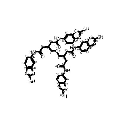 O=C(CC(COCC(CC(=O)Nc1ccc2nc(S)oc2c1)CC(=O)Nc1ccc2nc(S)oc2c1)CC(=O)Nc1ccc2nc(S)oc2c1)Nc1ccc2nc(S)oc2c1